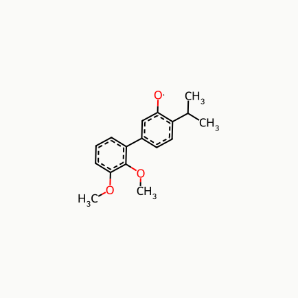 COc1cccc(-c2ccc(C(C)C)c([O])c2)c1OC